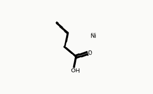 CCCC(=O)O.[Ni]